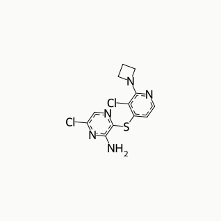 Nc1nc(Cl)cnc1Sc1ccnc(N2CCC2)c1Cl